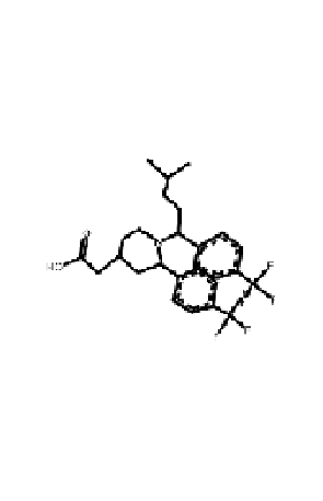 CC(C)CCC(c1ccc(C(F)(F)F)cc1)N1CCC(CC(=O)O)CC1c1ccc(C(F)(F)F)cc1